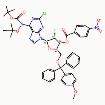 COc1ccc(C(OC[C@H]2O[C@@H](n3cnc4c(N(OC(C)(C)C)C(=O)OC(C)(C)C)nc(Cl)nc43)[C@@H](F)[C@H]2OC(=O)c2ccc([N+](=O)[O-])cc2)(c2ccccc2)c2ccccc2)cc1